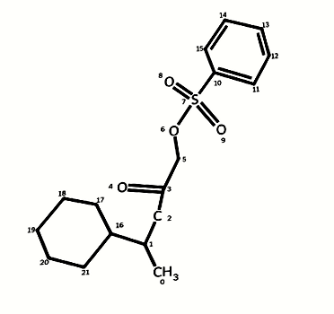 CC(CC(=O)COS(=O)(=O)c1ccccc1)C1CCCCC1